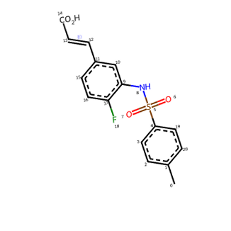 Cc1ccc(S(=O)(=O)Nc2cc(/C=C/C(=O)O)ccc2F)cc1